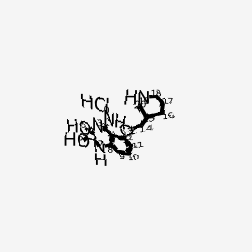 Cl.NC1=NS(O)(O)Nc2cccc(OCC3CCCNC3)c21